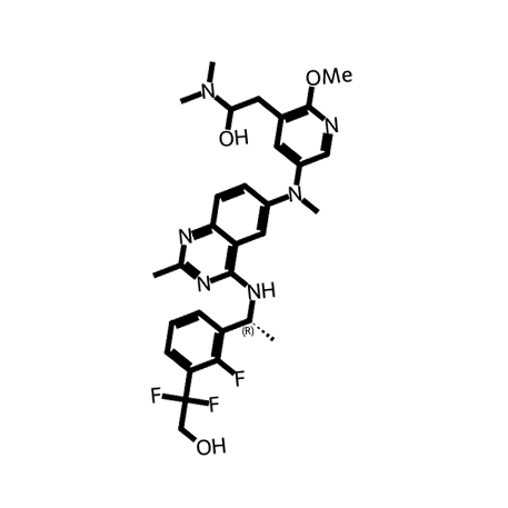 COc1ncc(N(C)c2ccc3nc(C)nc(N[C@H](C)c4cccc(C(F)(F)CO)c4F)c3c2)cc1CC(O)N(C)C